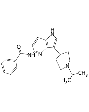 CC(C)N1CCC(c2c[nH]c3ccc(NC(=O)c4ccccc4)nc23)CC1